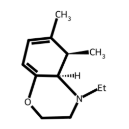 CCN1CCOC2=CC=C(C)[C@@H](C)[C@H]21